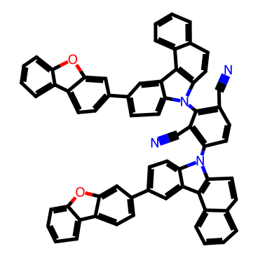 N#Cc1ccc(-n2c3ccc(-c4ccc5c(c4)oc4ccccc45)cc3c3c4ccccc4ccc32)c(C#N)c1-n1c2ccc(-c3ccc4c(c3)oc3ccccc34)cc2c2c3ccccc3ccc21